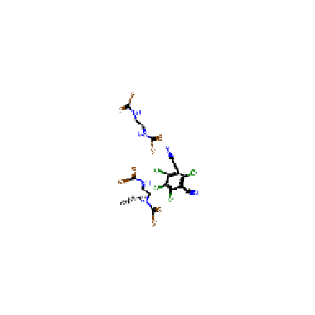 N#Cc1c(Cl)c(Cl)c(Cl)c(C#N)c1Cl.S=C([S-])NCCNC(=S)[S-].S=C([S-])NCCNC(=S)[S-].[Mn+2].[Zn+2]